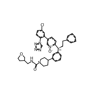 O=C(NCC1CCOC1)N1CCC(c2cccc([C@H](CCc3ccccc3)c3ccc(-c4cc(Cl)ccc4-n4cnnn4)c[n+]3[O-])c2)CC1